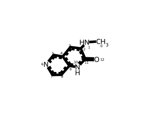 CNc1cc2cnccc2[nH]c1=O